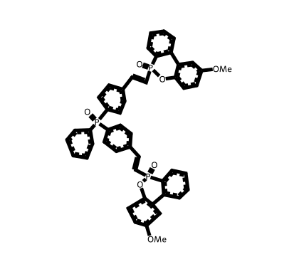 COc1ccc2c(c1)-c1ccccc1P(=O)(/C=C/c1ccc(P(=O)(c3ccccc3)c3ccc(/C=C/P4(=O)Oc5ccc(OC)cc5-c5ccccc54)cc3)cc1)O2